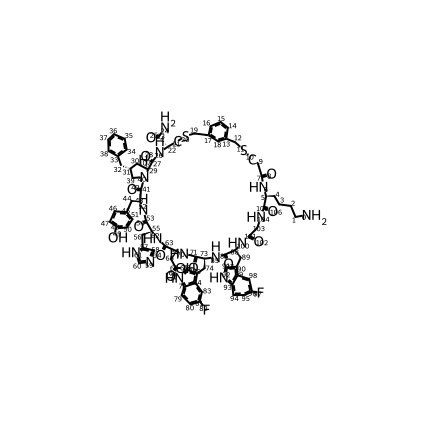 NCCCC[C@@H]1NC(=O)CCSCc2cccc(c2)CSC[C@@H](C(N)=O)NC(=O)[C@@H]2C[C@@H](Cc3ccccc3)CN2C(=O)[C@H](Cc2ccc(O)cc2)NC(=O)[C@H](Cc2cnc[nH]2)NC(=O)[C@H](CC(=O)O)NC(=O)[C@H](Cc2c[nH]c3ccc(F)cc23)NC(=O)[C@H](Cc2c[nH]c3ccc(F)cc23)NC(=O)CNC1=O